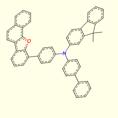 CC1(C)c2ccccc2-c2ccc(N(c3ccc(-c4ccccc4)cc3)c3ccc(-c4cccc5c4oc4c6ccccc6ccc54)cc3)cc21